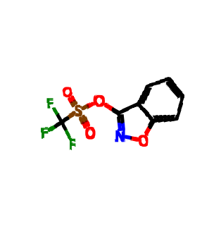 O=S(=O)(Oc1noc2ccccc12)C(F)(F)F